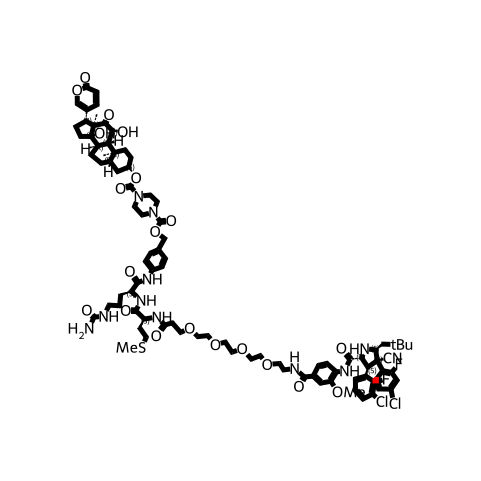 COc1cc(C(=O)NCCOCCOCCOCCOCCC(=O)N[C@@H](CCSC)C(=O)N[C@@H](CCCNC(N)=O)C(=O)Nc2ccc(COC(=O)N3CCN(C(=O)O[C@H]4CC[C@@]5(C)[C@H](CC[C@@H]6[C@@H]5[C@H](O)C(=O)[C@]5(C)[C@@H](c7ccc(=O)oc7)CC[C@]65O)C4)CC3)cc2)ccc1NC(=O)[C@@H]1N[C@@H](CC(C)(C)C)[C@](C#N)(c2ccc(Cl)cc2F)[C@H]1c1cccc(Cl)c1F